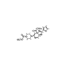 COC(=O)[N+]12C=C(N3CCN(C(=O)OC(C)(C)C)CC3)N=CC1=NC(c1ccco1)=N2